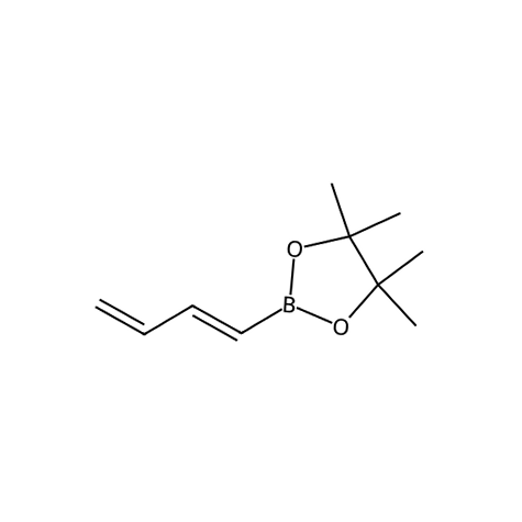 C=CC=CB1OC(C)(C)C(C)(C)O1